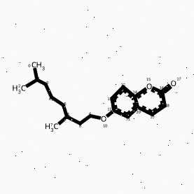 CC(C)CCCC(C)CCOc1ccc2oc(=O)ccc2c1